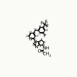 CC(=O)NC1CCc2c1nnn2-c1cc(Cc2cc(F)cc(C(F)(F)F)c2)ccn1